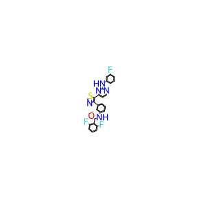 O=C(Nc1cccc(-c2ncsc2-c2ccnc(Nc3cccc(F)c3)n2)c1)c1c(F)cccc1F